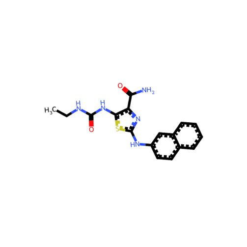 CCNC(=O)Nc1sc(Nc2ccc3ccccc3c2)nc1C(N)=O